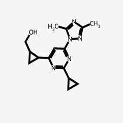 Cc1nc(C)n(-c2cc(C3CC3CO)nc(C3CC3)n2)n1